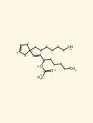 CCCCCC(/C=C/C1(CCCCCCO)CC=CC1)OC(C)=O